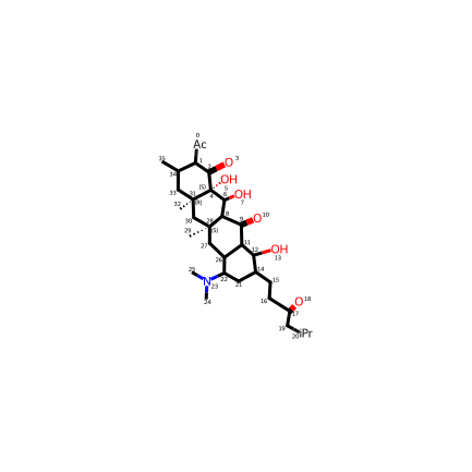 CC(=O)C1C(=O)[C@@]2(O)C(O)C3C(=O)C4C(O)C(CCC(=O)CC(C)C)CC(N(C)C)C4C[C@@]3(C)C[C@@]2(C)CC1C